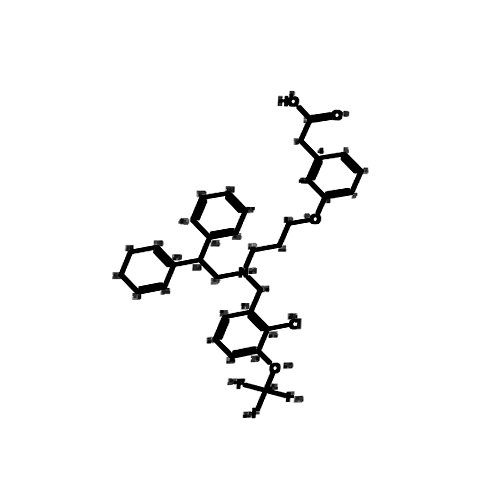 O=C(O)Cc1cccc(OCCCN(Cc2cccc(OC(F)(F)F)c2Cl)CC(C2=CCCC=C2)c2ccccc2)c1